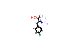 CC(O)C(N)Cc1ccc(F)cc1